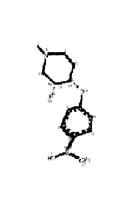 CN1CC[C@H](Oc2ccc(B(O)O)cc2)[C@H](F)C1